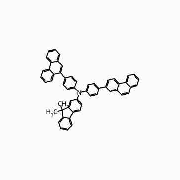 CC1(C)c2ccccc2-c2ccc(N(c3ccc(-c4ccc5c(ccc6ccccc65)c4)cc3)c3ccc(-c4cc5ccccc5c5ccccc45)cc3)cc21